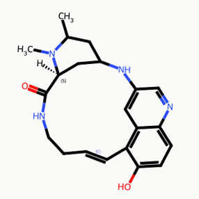 CC1CC2C[C@@H](C(=O)NCC/C=C/c3c(O)ccc4ncc(cc34)N2)N1C